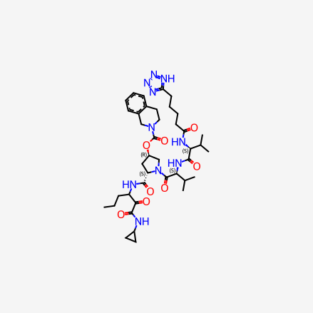 CCCC(NC(=O)[C@@H]1C[C@@H](OC(=O)N2CCc3ccccc3C2)CN1C(=O)[C@@H](NC(=O)[C@@H](NC(=O)CCCCc1nnn[nH]1)C(C)C)C(C)C)C(=O)C(=O)NC1CC1